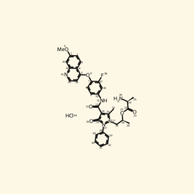 COc1ccc2c(Oc3ccc(NC(=O)c4c(C)n(C[C@H](C)OC(=O)[C@H](C)N)n(-c5ccccc5)c4=O)cc3F)ccnc2c1.Cl